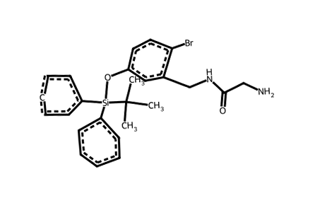 CC(C)(C)[Si](Oc1ccc(Br)c(CNC(=O)CN)c1)(c1ccccc1)c1ccccc1